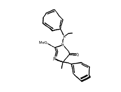 COC1=NC(C)(c2ccccc2)C(=O)N1N(C)c1ccccc1